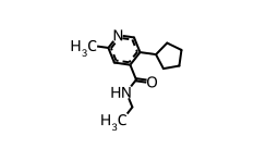 CCNC(=O)c1cc(C)ncc1C1CCCC1